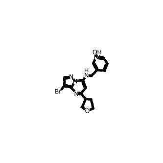 O[n+]1cccc(CNc2cc(C3CCOC3)nc3c(Br)cnn23)c1